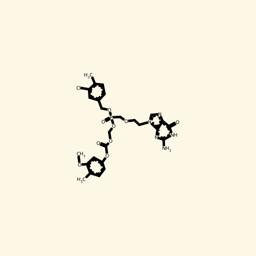 COc1cc(OC(=O)OCOP(=O)(COCCn2cnc3c(=O)[nH]c(N)nc32)OCc2ccc(C)c(Cl)c2)ccc1C